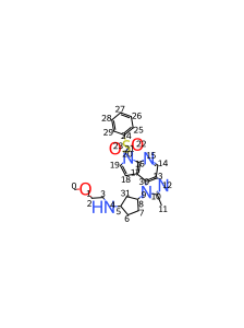 COCCNC1CCC(n2c(C)nc3cnc4c(ccn4S(=O)(=O)c4ccccc4)c32)C1